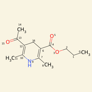 CCCOC(=O)C1=C(C)NC(C)=C(C(C)=O)C1